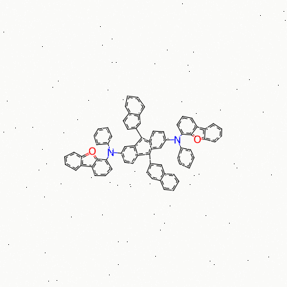 c1ccc(N(c2ccc3c(-c4ccc5ccccc5c4)c4cc(N(c5ccccc5)c5cccc6c5oc5ccccc56)ccc4c(-c4ccc5ccccc5c4)c3c2)c2cccc3c2oc2ccccc23)cc1